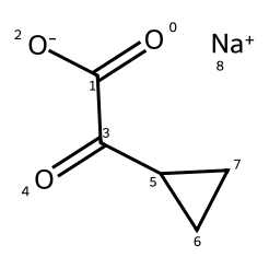 O=C([O-])C(=O)C1CC1.[Na+]